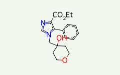 CCOC(=O)c1ncn(CC2(O)CCOCC2)c1-c1ccccc1